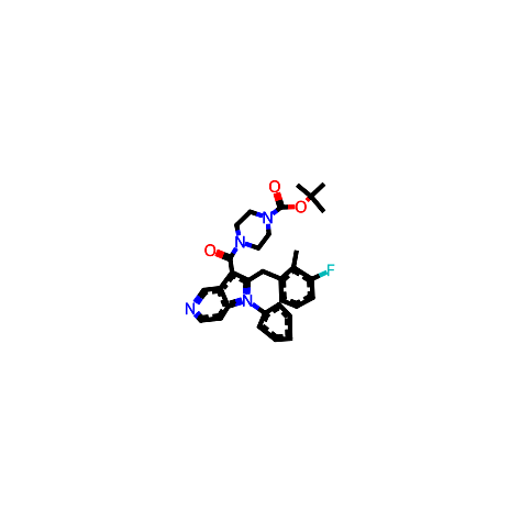 Cc1c(F)cccc1Cc1c(C(=O)N2CCN(C(=O)OC(C)(C)C)CC2)c2cnccc2n1-c1ccccc1